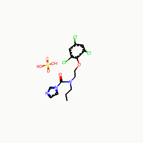 CCCN(CCOc1c(Cl)cc(Cl)cc1Cl)C(=O)n1ccnc1.O=S(=O)(O)O